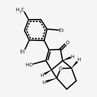 CCc1cc(C)cc(CC)c1C1=C(O)[C@@H]2[C@H](C1=O)[C@@H]1CC[C@H]2O1